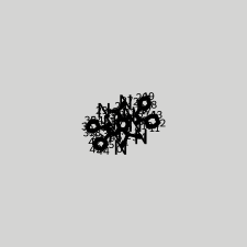 N#CC(C#N)=c1c2nc(-c3ccccc3)c(-c3ccccc3)nc2c(=C(C#N)C#N)c2nc(-c3ccccc3)c(-c3ccccc3)nc12